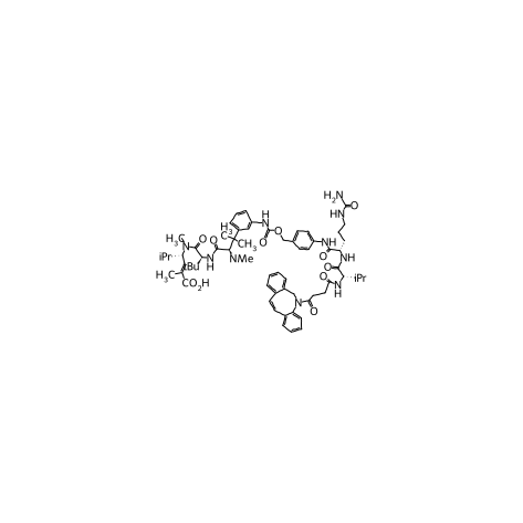 CN[C@@H](C(=O)N[C@H](C(=O)N(C)[C@H](/C=C(\C)C(=O)O)C(C)C)C(C)(C)C)C(C)(C)c1cccc(NC(=O)OCc2ccc(NC(=O)[C@H](CCCNC(N)=O)NC(=O)[C@@H](NC(=O)CCC(=O)N3Cc4ccccc4/C=C\c4ccccc43)C(C)C)cc2)c1